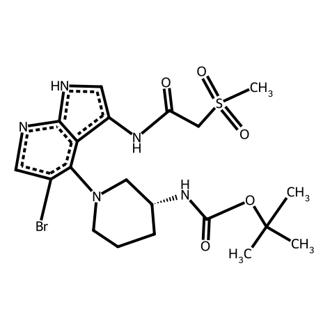 CC(C)(C)OC(=O)N[C@@H]1CCCN(c2c(Br)cnc3[nH]cc(NC(=O)CS(C)(=O)=O)c23)C1